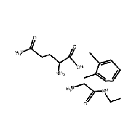 CCNC(=O)CN.Cc1ccccc1C.NC(=O)CCC(N)C(=O)O